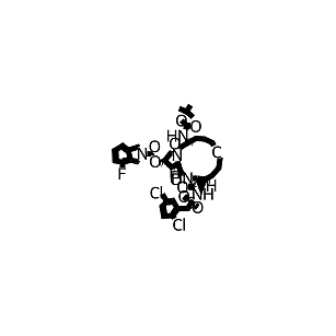 CC(C)(C)OC(=O)N[C@H]1CCCCCCC[C@@H]2C[C@@]2(C(=O)NS(=O)(=O)Cc2cc(Cl)ccc2Cl)NC(=O)[C@@H]2C[C@@H](OC(=O)N3Cc4cccc(F)c4C3)CN2C1=O